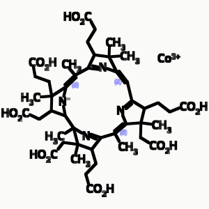 C/C1=C2N=C(/C=C3N=C(/C(C)=C4\[N-]C(C(CC(=O)O)C4(C)CCC(=O)O)C4(C)N=C1C(CCC(=O)O)C4(C)CC(=O)O)C(CCC(=O)O)C\3(C)C)C(CCC(=O)O)C/2(C)CC(=O)O.[Co+3]